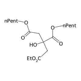 CCCCCOC(=O)CC(O)(CC(=O)OCC)C(=O)OCCCCC